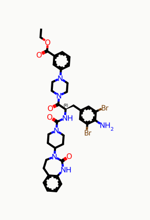 CCOC(=O)c1cccc(N2CCN(C(=O)[C@@H](Cc3cc(Br)c(N)c(Br)c3)NC(=O)N3CCC(N4CCc5ccccc5NC4=O)CC3)CC2)c1